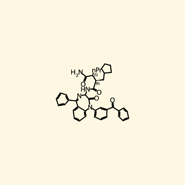 CCC[C@H](C(N)=O)[C@@H](CC1CCCC1)C(=O)NC1N=C(c2ccccc2)c2ccccc2N(c2cccc(C(=O)c3ccccc3)c2)C1=O